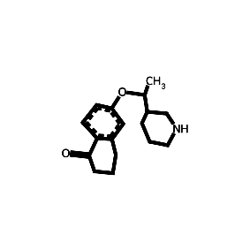 CC(Oc1ccc2c(c1)CCCC2=O)C1CCCNC1